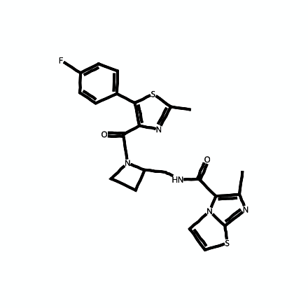 Cc1nc(C(=O)N2CCC2CNC(=O)c2c(C)nc3sccn23)c(-c2ccc(F)cc2)s1